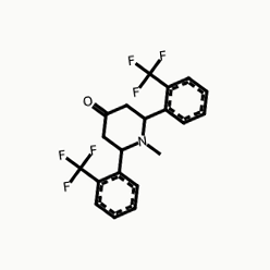 CN1C(c2ccccc2C(F)(F)F)CC(=O)CC1c1ccccc1C(F)(F)F